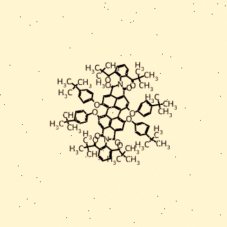 CC(C)(C)C(=O)c1cccc(C(=O)C(C)(C)C)c1N1C(=O)c2cc(Oc3ccc(C(C)(C)C)cc3)c3c4c(Oc5ccc(C(C)(C)C)cc5)cc5c6c(cc(Oc7ccc(C(C)(C)C)cc7)c(c7c(Oc8ccc(C(C)(C)C)cc8)cc(c2c37)C1=O)c64)C(=O)N(c1c(C(=O)C(C)(C)C)cccc1C(=O)C(C)(C)C)C5=O